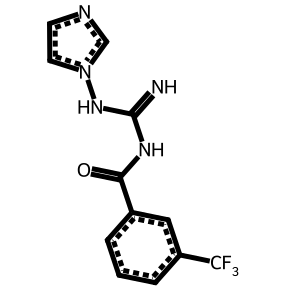 N=C(NC(=O)c1cccc(C(F)(F)F)c1)Nn1ccnc1